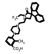 Cc1c(C(=O)O)cccc1N1CCN(CCCCC2(C(=O)NCC(F)(F)F)c3ccccc3-c3ccccc32)CC1